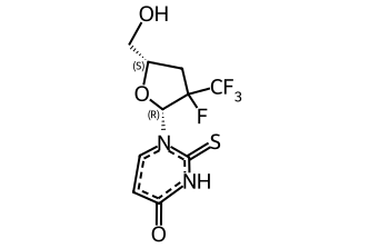 O=c1ccn([C@@H]2O[C@H](CO)CC2(F)C(F)(F)F)c(=S)[nH]1